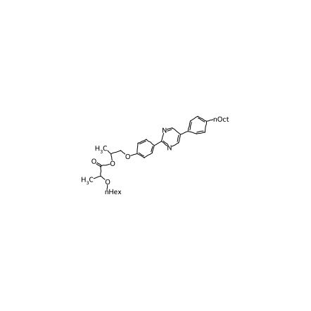 CCCCCCCCc1ccc(-c2cnc(-c3ccc(OCC(C)OC(=O)C(C)OCCCCCC)cc3)nc2)cc1